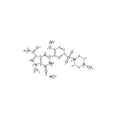 CCCOc1ccc(S(=O)(=O)N2CCN(C)CC2)cc1-c1nc2c(C(N)=O)nn(C)c2c(=O)[nH]1.Cl